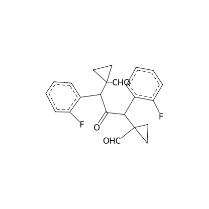 O=CC1(C(C(=O)C(c2ccccc2F)C2(C=O)CC2)c2ccccc2F)CC1